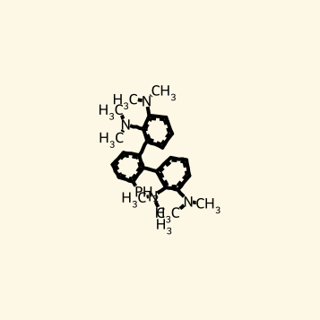 CN(C)c1cccc(-c2cccc(P)c2-c2cccc(N(C)C)c2N(C)C)c1N(C)C